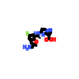 C[C@@H](Nc1ccn2ncc(C(=O)O)c2n1)c1cc(F)cc2c1OC(C)(CN)C2